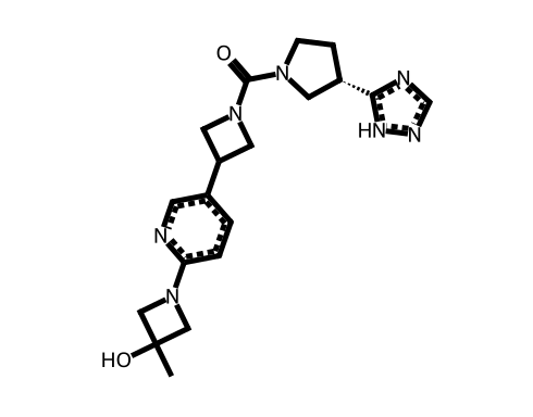 CC1(O)CN(c2ccc(C3CN(C(=O)N4CC[C@H](c5ncn[nH]5)C4)C3)cn2)C1